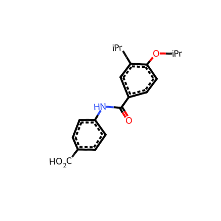 CC(C)Oc1ccc(C(=O)Nc2ccc(C(=O)O)cc2)cc1C(C)C